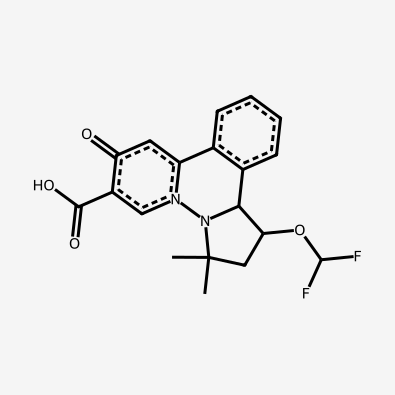 CC1(C)CC(OC(F)F)C2c3ccccc3-c3cc(=O)c(C(=O)O)cn3N21